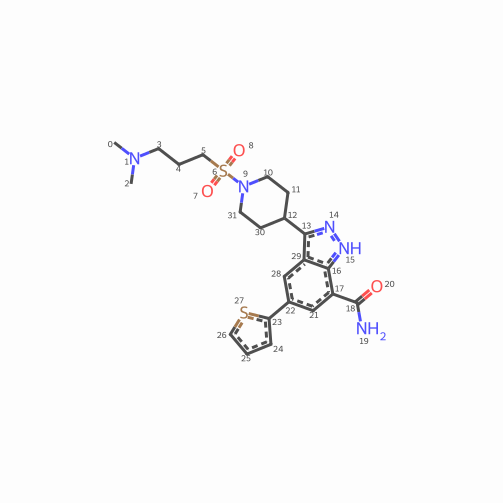 CN(C)CCCS(=O)(=O)N1CCC(c2n[nH]c3c(C(N)=O)cc(-c4cccs4)cc23)CC1